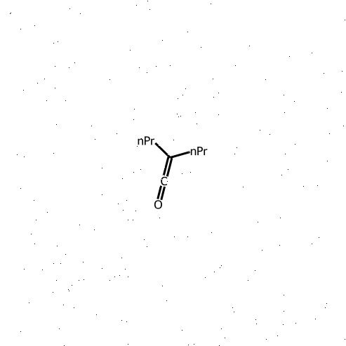 CCCC(=C=O)CCC